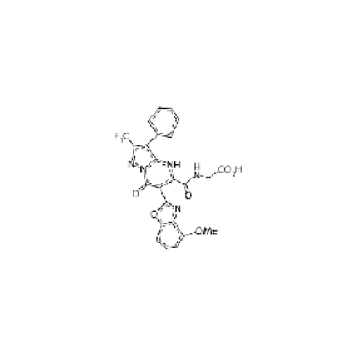 COc1cccc2oc(-c3c(C(=O)NCC(=O)O)[nH]c4c(-c5ccccc5)c(C(F)(F)F)nn4c3=O)nc12